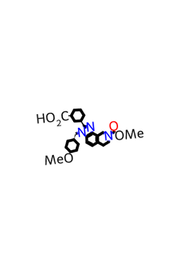 COC(=O)N1CCc2ccc3c(nc([C@@H]4CCC[C@@H](C(=O)O)C4)n3C[C@H]3CC[C@H](OC)CC3)c2C1